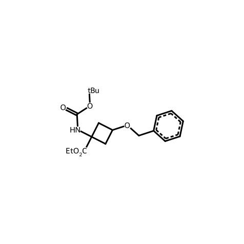 CCOC(=O)C1(NC(=O)OC(C)(C)C)CC(OCc2ccccc2)C1